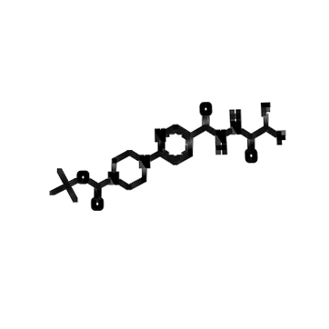 CC(C)(C)OC(=O)N1CCN(c2ccc(C(=O)NNC(=O)C(F)F)cn2)CC1